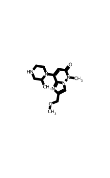 COCc1cn2c(n1)c(N1CCNCC1C)cc(=O)n2C